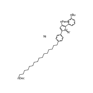 CCCCCCCCCCCCCCCCCCCCCCCCCCc1ccc(C2=CC(CCCCC)=C(c3cccc(CCCC)c3)[N+]2=[N-])cc1.[Ni]